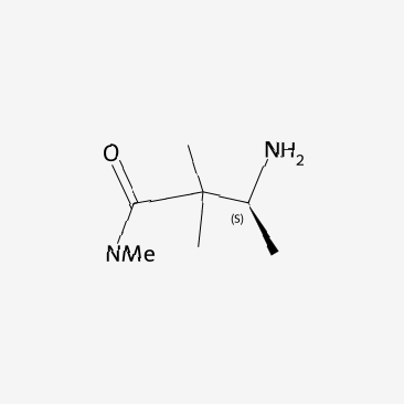 CNC(=O)C(C)(C)[C@H](C)N